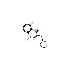 COc1cccc(C)c1NC(=O)CC1CCCC1